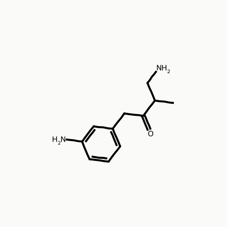 CC(CN)C(=O)Cc1cccc(N)c1